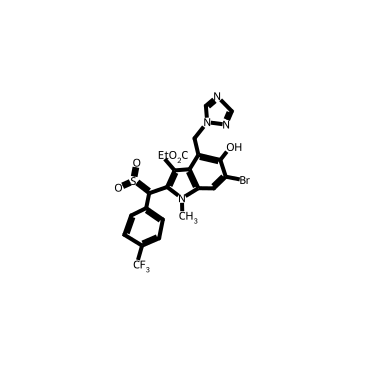 CCOC(=O)c1c(C(c2ccc(C(F)(F)F)cc2)=S(=O)=O)n(C)c2cc(Br)c(O)c(Cn3cncn3)c12